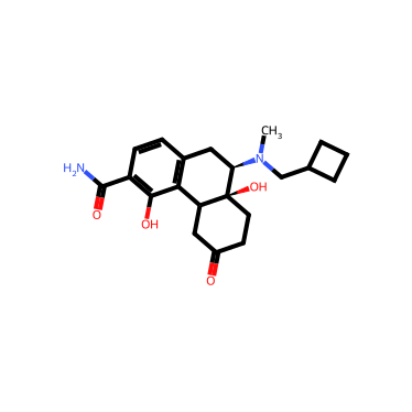 CN(CC1CCC1)[C@@H]1Cc2ccc(C(N)=O)c(O)c2C2CC(=O)CC[C@]21O